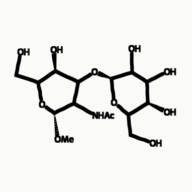 CO[C@@H]1OC(CO)[C@@H](O)C(O[C@@H]2OC(CO)[C@H](O)C(O)C2O)C1NC(C)=O